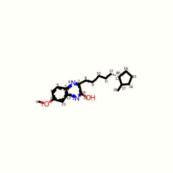 COc1ccc2nc(CCCCC[C@@H]3CCCC3C)c(O)nc2c1